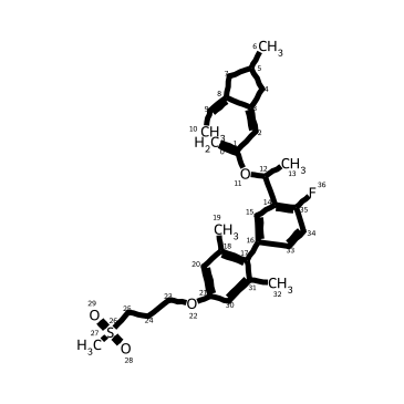 C=C(/C=C1/CC(C)C/C1=C/C)OC(C)c1cc(-c2c(C)cc(OCCCS(C)(=O)=O)cc2C)ccc1F